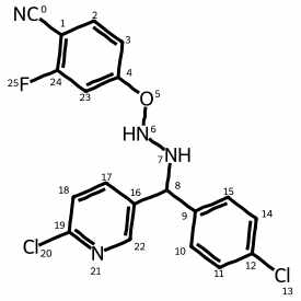 N#Cc1ccc(ONNC(c2ccc(Cl)cc2)c2ccc(Cl)nc2)cc1F